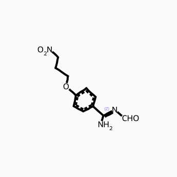 N/C(=N\C=O)c1ccc(OCCC[N+](=O)[O-])cc1